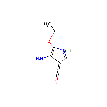 CCOC1=C(N)C(=C=O)C=N1.Cl